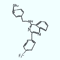 CC(C)(C)c1ccc(CNc2nc(-c3ccc(C(F)(F)F)cc3)nc3ccccc23)cc1